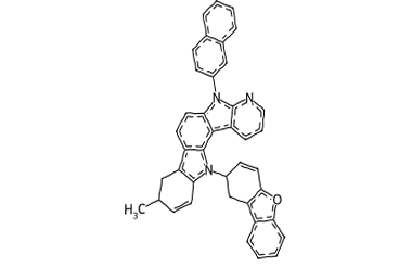 CC1C=Cc2c(c3ccc4c(c5cccnc5n4-c4ccc5ccccc5c4)c3n2C2C=Cc3oc4ccccc4c3C2)C1